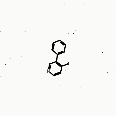 Ic1ccncc1-c1ccccc1